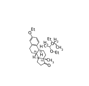 C=C.CCOC(C)OCC.CCOc1ccc2c(c1)CC[C@@H]1[C@@H]2CC[C@]2(C)C(=O)CC[C@@H]12